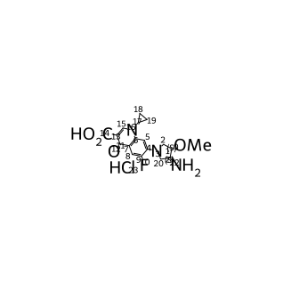 CO[C@H]1CN(c2cc3c(cc2F)c(=O)c(C(=O)O)cn3C2CC2)C[C@@H]1N.Cl